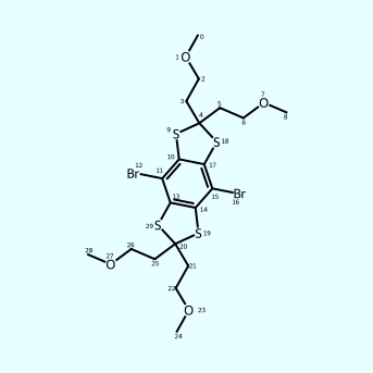 COCCC1(CCOC)Sc2c(Br)c3c(c(Br)c2S1)SC(CCOC)(CCOC)S3